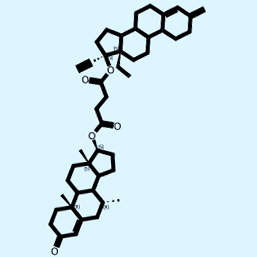 C#C[C@]1(OC(=O)CCC(=O)O[C@H]2CCC3C4C(CC[C@@]32C)[C@@]2(C)CCC(=O)C=C2C[C@H]4C)CCC2C3CCC4=CC(=C)CCC4C3CC[C@@]21CC